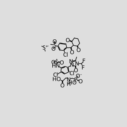 CS(=O)(=O)c1ccc(C(=O)C2C(=O)CCCC2=O)c(Cl)c1.C[S+](C)C.Cc1nn(-c2cc(NS(C)(=O)=O)c(Cl)cc2Cl)c(=O)n1C(F)F.O=C(O)CNCP(=O)([O-])O